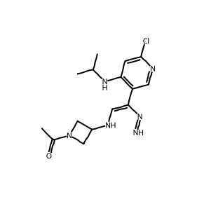 CC(=O)N1CC(N/C=C(\N=N)c2cnc(Cl)cc2NC(C)C)C1